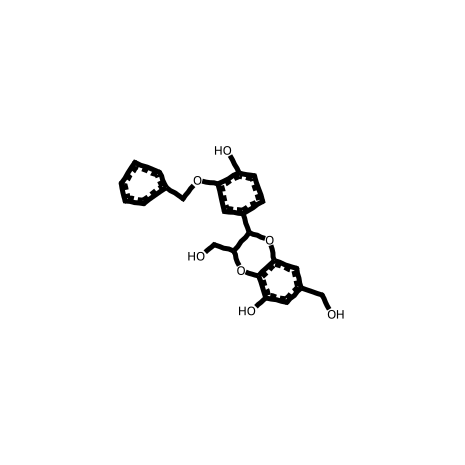 OCc1cc(O)c2c(c1)OC(c1ccc(O)c(OCc3ccccc3)c1)C(CO)O2